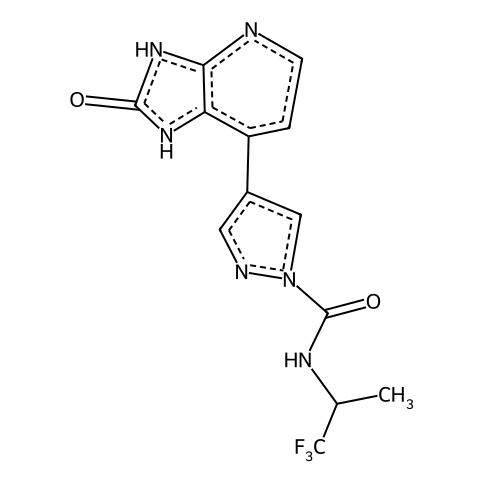 CC(NC(=O)n1cc(-c2ccnc3[nH]c(=O)[nH]c23)cn1)C(F)(F)F